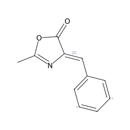 CC1=N/C(=C\c2c[c]c[c]c2)C(=O)O1